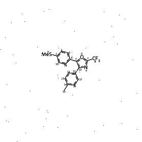 CSc1ccc(-c2oc(C(F)(F)F)nc2-c2ccc(C)cc2)cc1